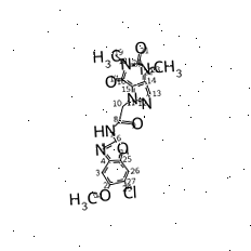 COc1cc2nc(NC(=O)Cn3ncc4c3c(=O)n(C)c(=O)n4C)oc2cc1Cl